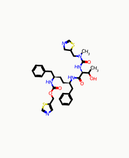 CC(O)[C@H](NC(=O)N(C)CC1CN=CS1)C(=O)N[C@H](CC[C@H](Cc1ccccc1)NC(=O)OCc1cncs1)Cc1ccccc1